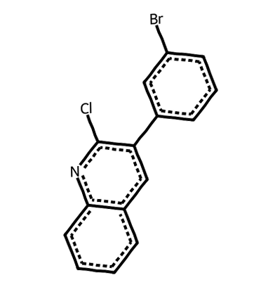 Clc1nc2ccccc2cc1-c1cccc(Br)c1